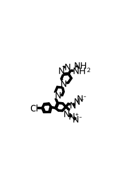 [N-]=[N+]=NCC1(CN=[N+]=[N-])CCC(c2ccc(Cl)cc2)=C(CN2CCC(N3CCc4c(ncnc4NN)C3)CC2)C1